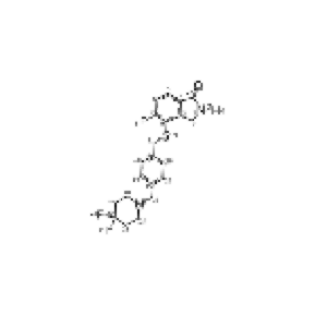 [2H]N1Cc2c(ccc(F)c2SCc2ccc(CN3CCC(F)(F)CC3)cc2)C1=O